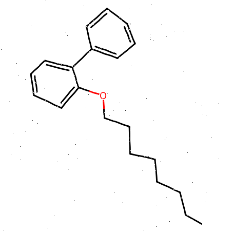 CCCCCCCCOc1ccccc1-c1cc[c]cc1